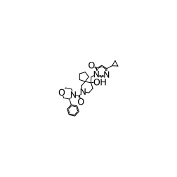 O=C(N1CCC(O)(Cn2cnc(C3CC3)cc2=O)C2(CCCC2)C1)N1CCOCC1c1ccccc1